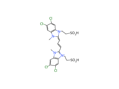 CN1C(=CC=Cc2n(C)c3cc(Cl)c(Cl)cc3[n+]2CCS(=O)(=O)O)N(CCS(=O)(=O)O)c2cc(Cl)c(Cl)cc21